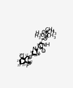 CC(C)(C)[Si](C)(C)OC[C@H]1CN(c2ncc(OCc3c(Cl)cccc3C(F)(F)F)cn2)C(=O)N1